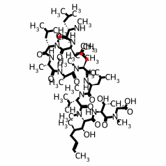 C/C=C/C[C@@H](C)[C@@H](O)[C@@H](C(=O)N[C@H](C(=O)N(C)CC(=O)O)[C@@H](C)O)N(C)C(=O)[C@H](C(C)C)N(C)C(=O)[C@H](CC(C)C)NC(=O)[C@H](CC(C)C)N(C)C(=O)[C@@H](C)NC(=O)[C@H](C)NC(=O)[C@H](CC(C)C)N(C)C(=O)[C@H](CC(C)C)NC(=O)[C@H](CC(C)C)NC